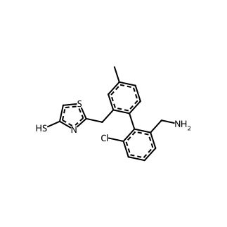 Cc1ccc(-c2c(Cl)cccc2CN)c(Cc2nc(S)cs2)c1